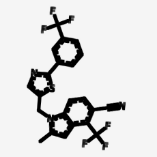 Cc1cc2c(C(F)(F)F)c(C#N)ccc2n1Cc1cnc(-c2cccc(C(F)(F)F)c2)s1